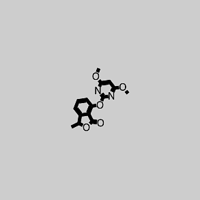 COc1cc(OC)nc(Oc2cccc3c2C(=O)OC3C)n1